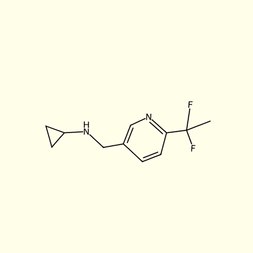 CC(F)(F)c1ccc(CNC2CC2)cn1